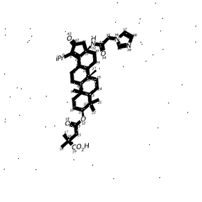 CC(C)C1=C2C3CCC4C5(C)CC[C@H](OC(=O)CC(C)(C)C(=O)O)C(C)(C)C5CC[C@@]4(C)C3CC[C@@]2(NC(=O)Cn2ccnc2)CC1=O